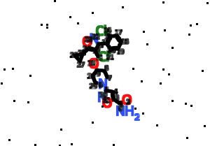 NC(=O)c1cc(N2CCC(OCc3c(-c4c(Cl)cccc4Cl)noc3C3CC3)CC2)no1